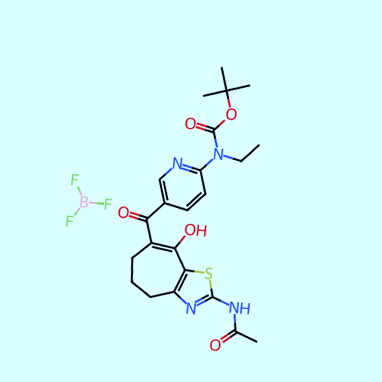 CCN(C(=O)OC(C)(C)C)c1ccc(C(=O)C2=C(O)c3sc(NC(C)=O)nc3CCC2)cn1.FB(F)F